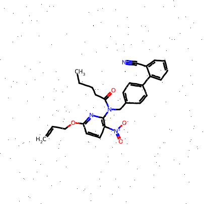 C=CCOc1ccc([N+](=O)[O-])c(N(Cc2ccc(-c3ccccc3C#N)cc2)C(=O)CCCC)n1